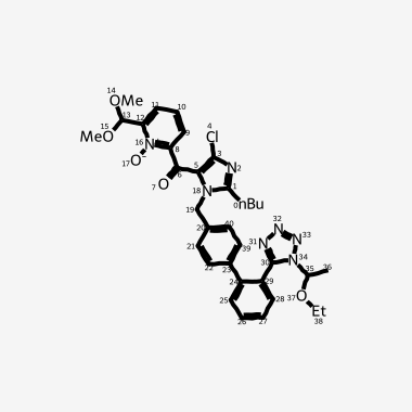 CCCCc1nc(Cl)c(C(=O)c2cccc(C(OC)OC)[n+]2[O-])n1Cc1ccc(-c2ccccc2-c2nnnn2C(C)OCC)cc1